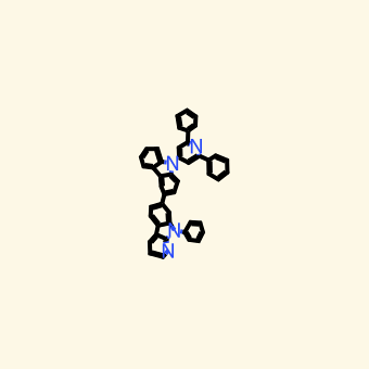 c1ccc(-c2cc(-n3c4ccccc4c4cc(-c5ccc6c7cccnc7n(-c7ccccc7)c6c5)ccc43)cc(-c3ccccc3)n2)cc1